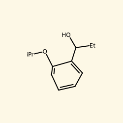 CCC(O)c1ccccc1OC(C)C